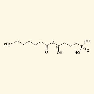 CCCCCCCCCCCCCCCC(=O)O[C@H](O)CCCP(=O)(O)O